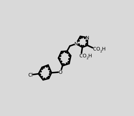 O=C(O)c1ncn(Cc2ccc(Oc3ccc(Cl)cc3)cc2)c1C(=O)O